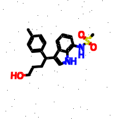 Cc1ccc(C(CCCO)c2c[nH]c3c(NS(C)(=O)=O)cccc23)cc1